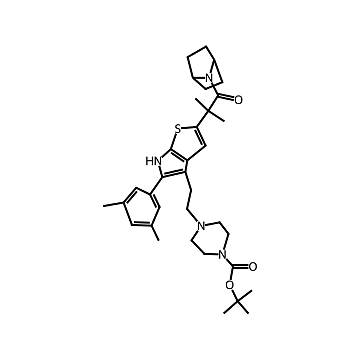 Cc1cc(C)cc(-c2[nH]c3sc(C(C)(C)C(=O)N4C5CCC4CC5)cc3c2CCN2CCN(C(=O)OC(C)(C)C)CC2)c1